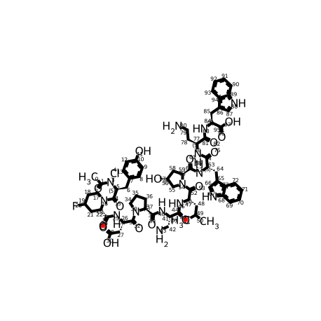 CC(=O)N(Cl)[C@@H](Cc1ccc(O)cc1)C(=O)N1CCC(F)C[C@H]1C(=O)N[C@@H](CC(=O)O)C(=O)N1CCC[C@H]1C(=O)N[C@@H](CN)C(=O)N[C@@H](CC(C)C)C(=O)N1C[C@H](O)C[C@H]1C(=O)N[C@@H](Cc1c[nH]c2ccccc12)C(=O)N[C@@H](CCN)C(=O)N[C@@H](Cc1c[nH]c2ccccc12)C(=O)O